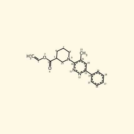 C=COC(=O)C1CCCN(c2nnc(-c3ccccc3)cc2C)C1